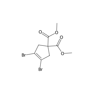 COC(=O)C1(C(=O)OC)CC(Br)=C(Br)C1